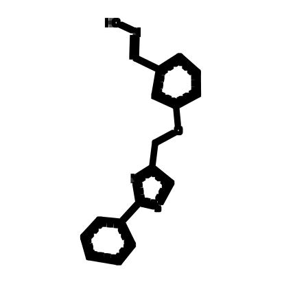 ON=Cc1cccc(OCc2csc(-c3ccccc3)n2)c1